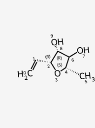 C=C[C@H]1O[C@@H](C)C(O)[C@H]1O